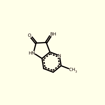 B=C1C(=O)Nc2ccc(C)nc21